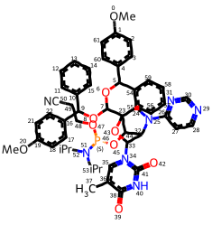 COc1ccc(C(OC(OC(c2ccccc2)c2ccc(OC)cc2)C23CN(c4ccncn4)C(C(n4cc(C)c(=O)[nH]c4=O)O2)C3O[P@@](OCCC#N)N(C(C)C)C(C)C)c2ccccc2)cc1